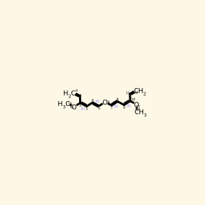 C=C/C(=C\C=C\O/C=C/C=C(\C=C)OC)OC